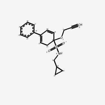 C#CCOC1(S(=O)(=O)NCC2CC2)C=CC(c2ccccc2)=CC1